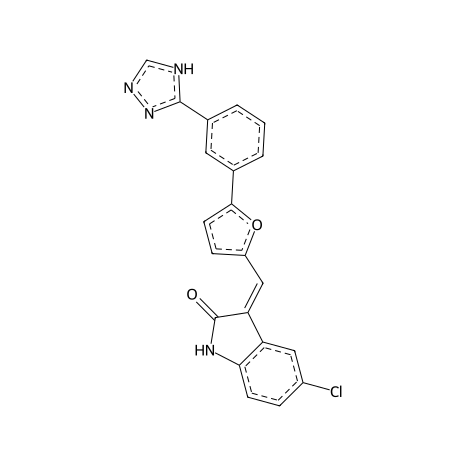 O=C1Nc2ccc(Cl)cc2C1=Cc1ccc(-c2cccc(-c3nnc[nH]3)c2)o1